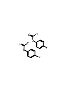 O=C(Cl)Oc1ccc(Br)cc1.O=C(Cl)Oc1ccc(F)cc1